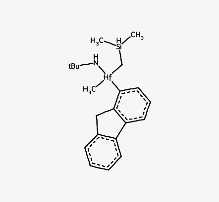 C[SiH](C)[CH2][Hf]([CH3])([NH]C(C)(C)C)[c]1cccc2c1Cc1ccccc1-2